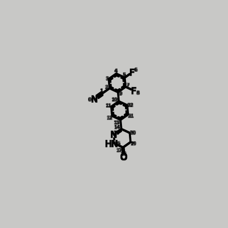 N#Cc1ccc(F)c(F)c1-c1ccc(C2=NNC(=O)CC2)cc1